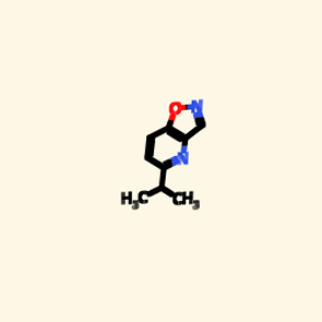 CC(C)c1ccc2oncc2n1